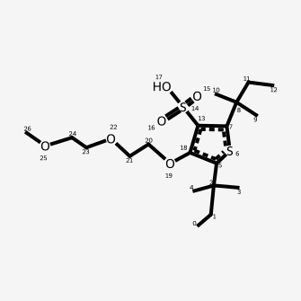 CCC(C)(C)c1sc(C(C)(C)CC)c(S(=O)(=O)O)c1OCCOCCOC